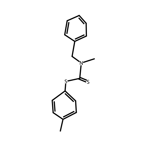 Cc1ccc(SC(=S)N(C)Cc2ccccc2)cc1